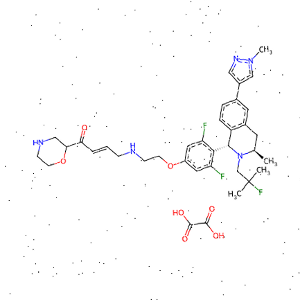 C[C@@H]1Cc2cc(-c3cnn(C)c3)ccc2[C@@H](c2c(F)cc(OCCNC/C=C/C(=O)C3CNCCO3)cc2F)N1CC(C)(C)F.O=C(O)C(=O)O